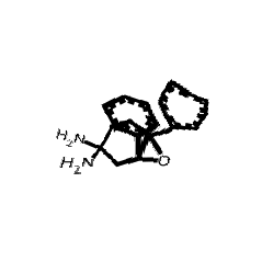 NC1(N)C=CC2(c3ccccc3)OC2(c2ccccc2)C1